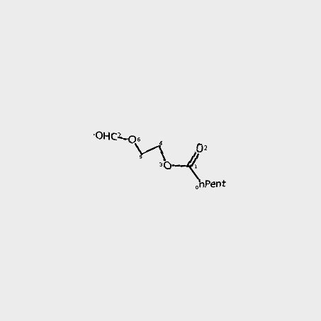 CCCCCC(=O)OCCO[C]=O